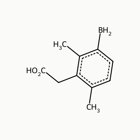 Bc1ccc(C)c(CC(=O)O)c1C